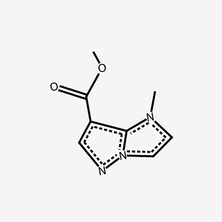 COC(=O)c1cnn2ccn(C)c12